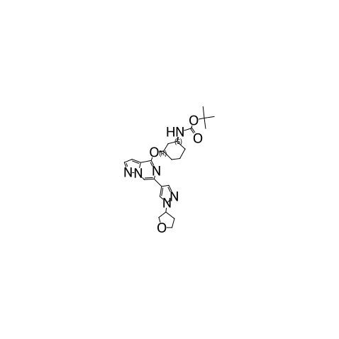 CC(C)(C)OC(=O)N[C@H]1CCC[C@@H](Oc2nc(-c3cnn(C4CCOC4)c3)cn3nccc23)C1